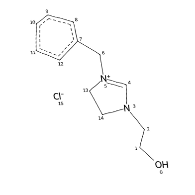 OCCN1C=[N+](Cc2ccccc2)CC1.[Cl-]